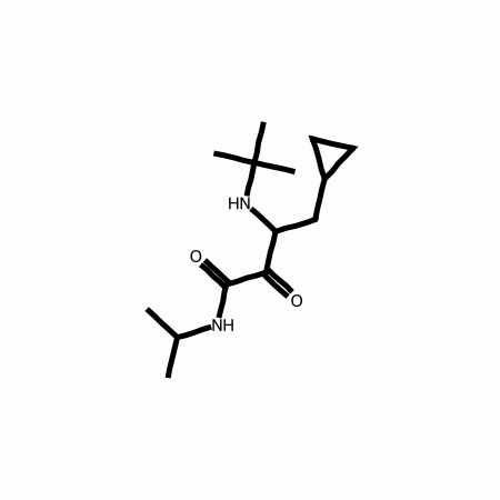 CC(C)NC(=O)C(=O)C(CC1CC1)NC(C)(C)C